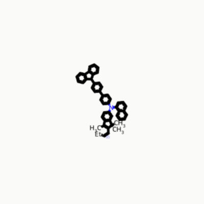 CC/C=C\C1=C(C)c2ccc(N(c3ccc(-c4ccc(C5c6ccccc6-c6ccccc65)cc4)cc3)c3cccc4ccccc34)cc2C1(C)C